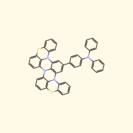 c1ccc(N(c2ccccc2)c2ccc(-c3cc4c5c(c3)n3c6ccccc6sc6cccc(c63)n-5c3cccc5sc6ccccc6n4c53)cc2)cc1